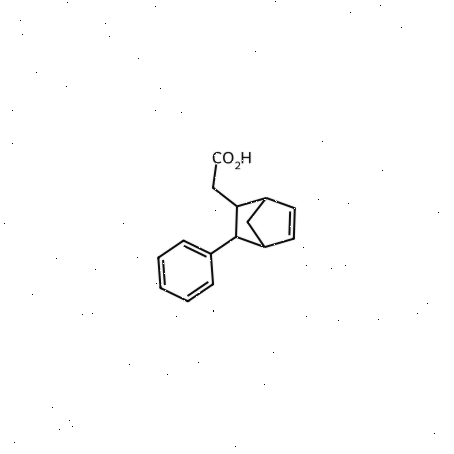 O=C(O)CC1C2C=CC(C2)C1c1ccccc1